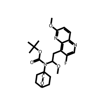 COc1ccc2ncc(F)c(CC(OC)N(C(=O)OC(C)(C)C)C34CCC(CC3)OC4)c2n1